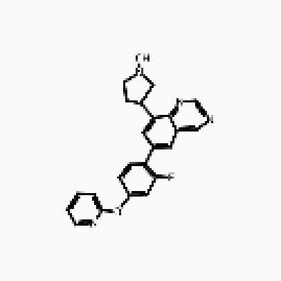 CN1CCC(c2cc(-c3ccc(Oc4ccccn4)cc3F)cc3cncnc23)C1